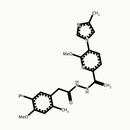 C=C(NNC(=O)Cc1cc(C(C)C)c(OC)cc1C)c1ccc(-n2cnc(C)c2)c(OC)n1